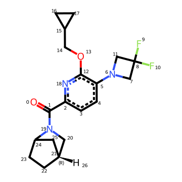 O=C(c1ccc(N2CC(F)(F)C2)c(OCC2CC2)n1)N1C[C@@H]2CCC1C2